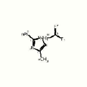 CCCc1nc(C)c[nH]1.FC(F)F